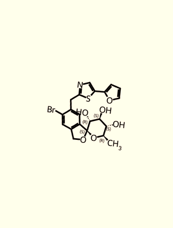 C[C@H]1O[C@]2(OCc3cc(Br)c(Cc4ncc(-c5ccco5)s4)cc32)[C@H](O)[C@@H](O)[C@@H]1O